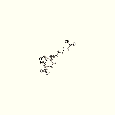 O=C(Cl)CCCCCNc1ccc([N+](=O)[O-])c2nonc12